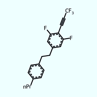 CCCc1ccc(CCc2cc(F)c(C#CC(F)(F)F)c(F)c2)cc1